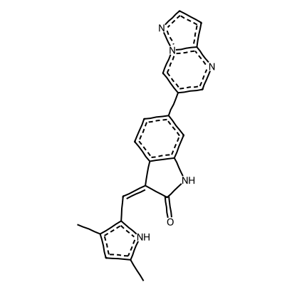 Cc1cc(C)c(/C=C2\C(=O)Nc3cc(-c4cnc5ccnn5c4)ccc32)[nH]1